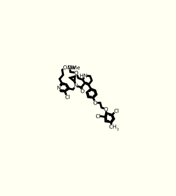 COCCCc1cc(CN(C(=O)C2=C(c3ccc(OCCOc4c(Cl)cc(C)cc4Cl)cc3)CCNC2COCOC)C2CC2)c(Cl)cn1